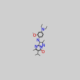 CCN(CC)c1ccc(N=C2C(C)=Nn3c2nc(C)c(C(C)C)c3=O)c(OC)c1